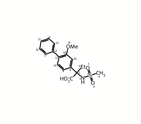 CCC(NS(C)(=O)=O)(C(=O)O)c1ccc(-c2ccccc2)c(OC)c1